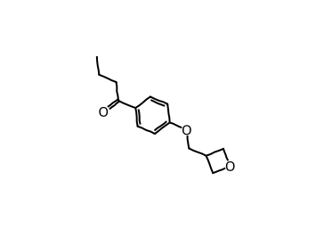 CCCC(=O)c1ccc(OCC2COC2)cc1